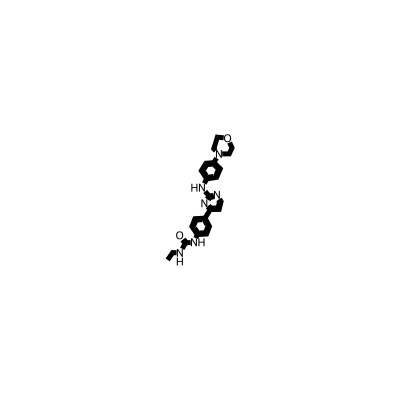 CCNC(=O)Nc1ccc(-c2ccnc(Nc3ccc(N4CCOCC4)cc3)n2)cc1